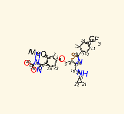 COc1cc(OCc2sc(-c3ccc(C(F)(F)F)cc3)nc2CNC2CC2)ccc1-c1noc(=O)[nH]1